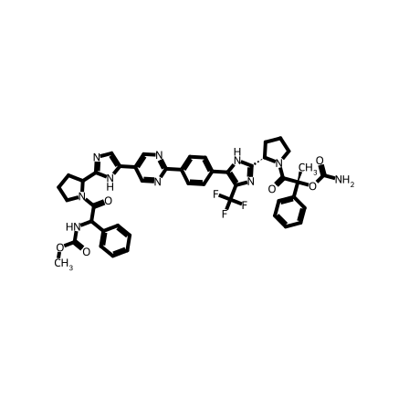 COC(=O)NC(C(=O)N1CCCC1c1ncc(-c2cnc(-c3ccc(-c4[nH]c([C@@H]5CCCN5C(=O)[C@](C)(OC(N)=O)c5ccccc5)nc4C(F)(F)F)cc3)nc2)[nH]1)c1ccccc1